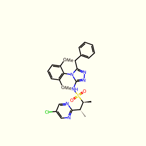 COc1cccc(OC)c1-n1c(Cc2ccccc2)nnc1NS(=O)(=O)[C@@H](C)[C@H](C)c1ncc(Cl)cn1